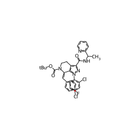 CC(NC(=O)c1nn(-c2ccc(Cl)cc2Cl)c2c1CCN(C(=O)OC(C)(C)C)/C2=C/c1ccc(F)cc1)c1ccccn1